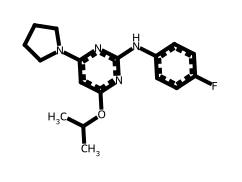 CC(C)Oc1cc(N2CCCC2)nc(Nc2ccc(F)cc2)n1